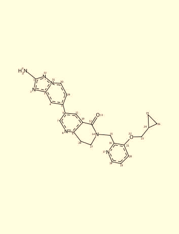 Nc1nc2cc(-c3cnc4c(c3)C(=O)N(Cc3ncccc3OCC3CC3)CC4)ccn2n1